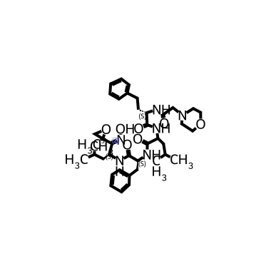 CC(C)CC(NC(=O)[C@H](CCc1ccccc1)NC(=O)CN1CCOCC1)C(=O)N[C@@H](Cc1ccccc1)C(=O)N[C@@H](CC(C)C)/C(=N/O)[C@@]1(C)CO1